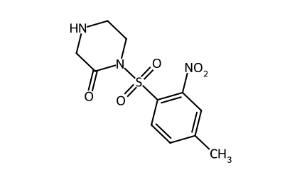 Cc1ccc(S(=O)(=O)N2CCNCC2=O)c([N+](=O)[O-])c1